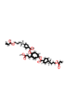 C=CC(=O)OCCC[Si](C)(C)c1ccc(C(=O)Oc2ccc(OC(=O)c3ccc([Si](C)(C)CCCOC(=O)C=C)cc3)c(/C=C/C(=O)OC)c2)cc1